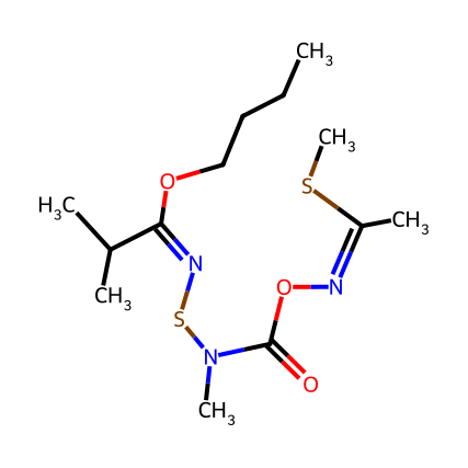 CCCCOC(=NSN(C)C(=O)ON=C(C)SC)C(C)C